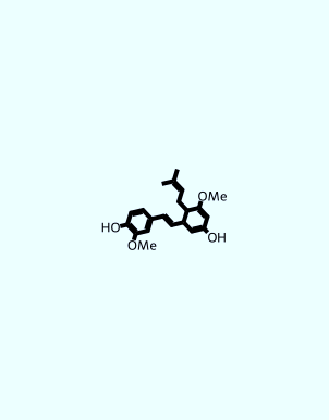 COC1=CC(O)=CC(C=Cc2ccc(O)c(OC)c2)C1CC=C(C)C